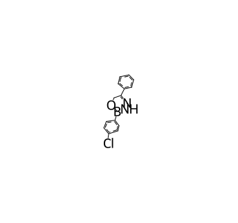 Clc1ccc(B2NN=C(c3ccccc3)CO2)cc1